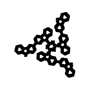 c1ccc2c(c1)-c1ccc(-c3ccc4sc5ccccc5c4c3)cc1C2c1nc(-n2c3ccccc3c3ccc(-c4ccc5sc6ccccc6c5c4)cc32)nc(-n2c3ccccc3c3ccc(-c4ccc5sc6ccccc6c5c4)cc32)n1